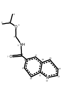 CC(C)OCNC(=O)c1ccc2ncccc2c1